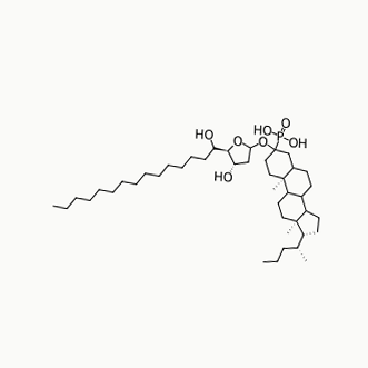 CCCCCCCCCCCCCCC(O)[C@H]1OC(OC2(P(=O)(O)O)CC[C@@]3(C)C(CCC4C3CC[C@@]3(C)C4CC[C@@H]3[C@H](C)CCC)C2)C[C@@H]1O